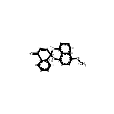 COc1ccc2c3c(cccc13)OC1(C=CC(=O)c3ccccc31)O2